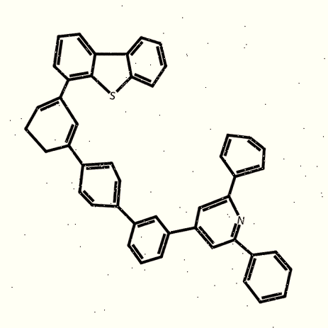 C1=C(c2ccc(-c3cccc(-c4cc(-c5ccccc5)nc(-c5ccccc5)c4)c3)cc2)CCC=C1c1cccc2c1sc1ccccc12